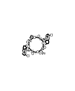 CC(C)C[C@H]1C(=O)O[C@H](Cc2ccc(Cn3nccc3Cl)cc2)C(=O)N(C)[C@@H](CC(C)C)C(=O)O[C@H](C)C(=O)N(C)[C@@H](CC(C)C)C(=O)O[C@H](Cc2ccc(Cn3ccc(Cl)n3)cc2)C(=O)N(C)[C@@H](CC(C)C)C(=O)O[C@H](C)C(=O)N1C